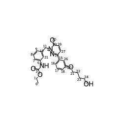 CCOC(=O)Nc1cccc(Cn2nc(-c3cccc(OCCCCO)c3)ccc2=O)c1